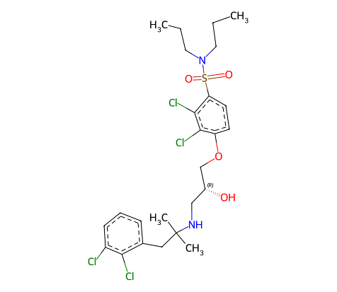 CCCN(CCC)S(=O)(=O)c1ccc(OC[C@H](O)CNC(C)(C)Cc2cccc(Cl)c2Cl)c(Cl)c1Cl